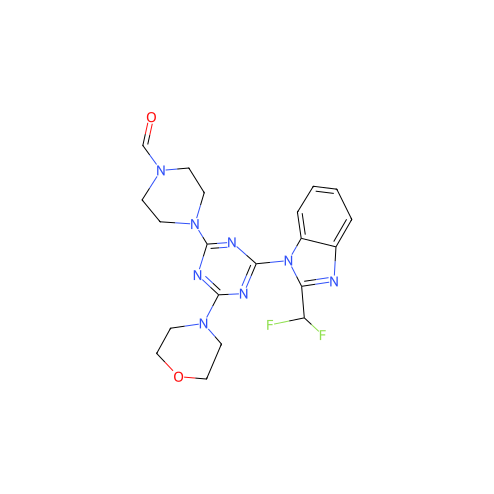 O=CN1CCN(c2nc(N3CCOCC3)nc(-n3c(C(F)F)nc4ccccc43)n2)CC1